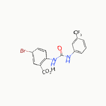 O=C(Nc1cccc(C(F)(F)F)c1)Nc1ccc(Br)cc1C(=O)O